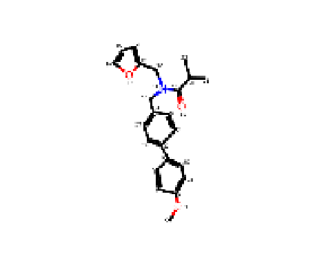 COc1ccc(-c2ccc(CN(Cc3ccco3)C(=O)C(C)C)cc2)cc1